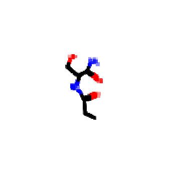 CCC(=O)NC(CO)C(N)=O